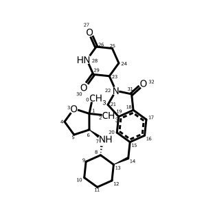 CC1(C)OCC[C@@H]1N[C@H]1CCCC[C@@H]1Cc1ccc2c(c1)CN(C1CCC(=O)NC1=O)C2=O